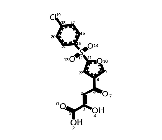 O=C(O)C(O)=CC(=O)c1coc(S(=O)(=O)c2ccc(Cl)cc2)c1